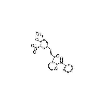 COc1ccc(C=CC(=O)c2cccnc2Nc2ccccc2)cc1[N+](=O)[O-]